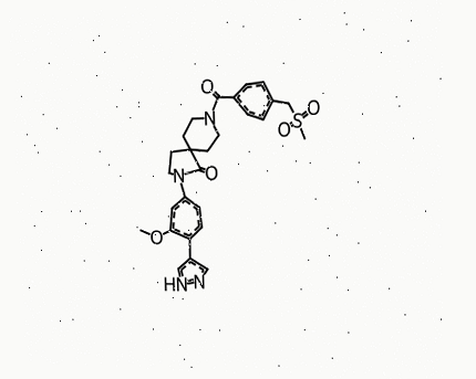 COc1cc(N2CCC3(CCN(C(=O)c4ccc(CS(C)(=O)=O)cc4)CC3)C2=O)ccc1-c1cn[nH]c1